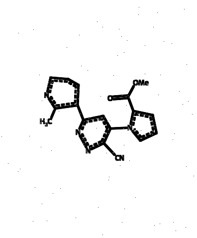 COC(=O)c1cccn1-c1cc(-c2cccnc2C)nnc1C#N